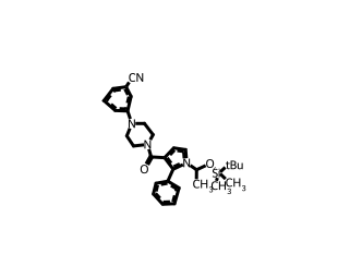 CC(O[Si](C)(C)C(C)(C)C)n1ccc(C(=O)N2CCN(c3cccc(C#N)c3)CC2)c1-c1ccccc1